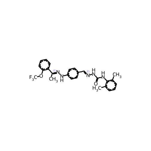 C/C(=N\Nc1ccc(/C=N/NC(=O)Nc2c(C)cccc2C)cc1)c1ccccc1OC(F)(F)F